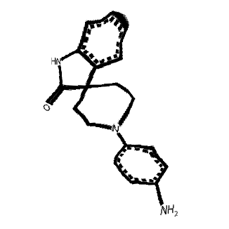 Nc1ccc(N2CCC3(CC2)C(=O)Nc2ccccc23)cc1